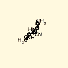 C=CC(=O)Nc1cccc(-c2cc(C#N)nc(Nc3cccc(N4CCN(C)CC4)c3)n2)c1